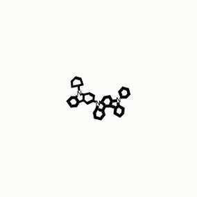 C1=CCC(N2c3ccccc3C3C=C(n4c5ccccc5c5c6c7ccccc7n(-c7ccccc7)c6ccc54)C=CC32)CC1